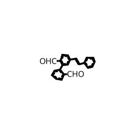 O=Cc1ccccc1-c1cc(C=Cc2ccccc2)ccc1C=O